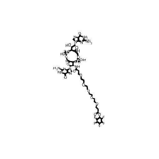 Nc1nc2c(ncn2[C@@H]2O[C@@H]3COP(=O)(O)OC4[C@@H](COP(=O)(O)OC3[C@@H]2O)O[C@@H](n2cnc3c(=O)[nH]c(N)nc32)[C@H]4NC(=O)CCOCCOCCOCCOCCOCCC(=O)Oc2c(F)c(F)c(F)c(F)c2F)c(=O)[nH]1